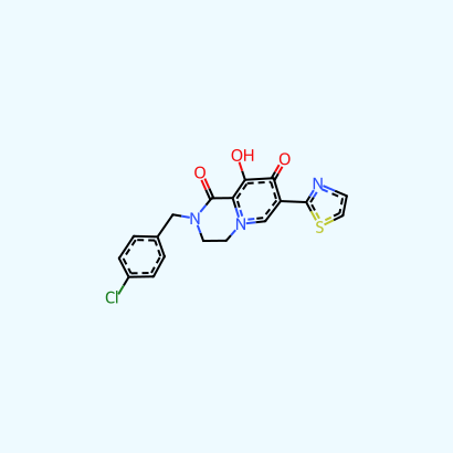 O=C1c2c(O)c(=O)c(-c3nccs3)cn2CCN1Cc1ccc(Cl)cc1